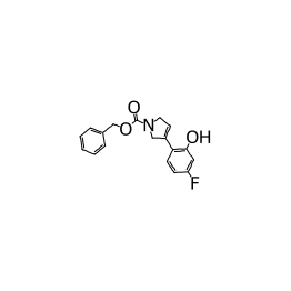 O=C(OCc1ccccc1)N1CC=C(c2ccc(F)cc2O)C1